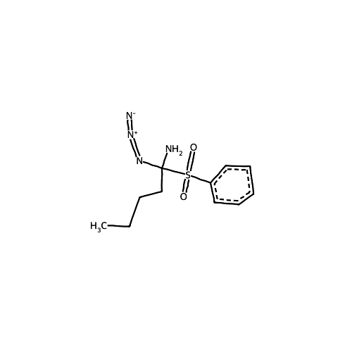 CCCCC(N)(N=[N+]=[N-])S(=O)(=O)c1ccccc1